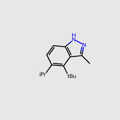 Cc1n[nH]c2ccc(C(C)C)c(C(C)(C)C)c12